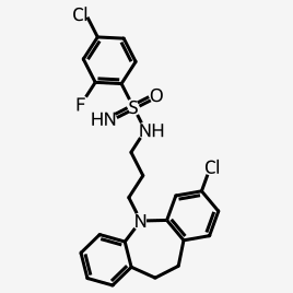 N=S(=O)(NCCCN1c2ccccc2CCc2ccc(Cl)cc21)c1ccc(Cl)cc1F